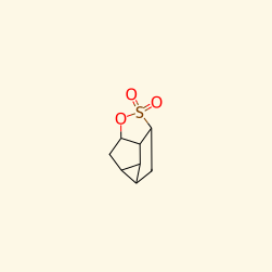 O=S1(=O)OC2CC3C4CC1C2C34